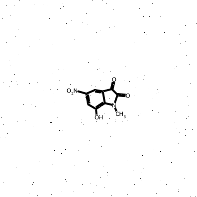 CN1C(=O)C(=O)c2cc([N+](=O)[O-])cc(O)c21